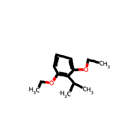 [CH2]C(C)c1c(OCC)cccc1OCC